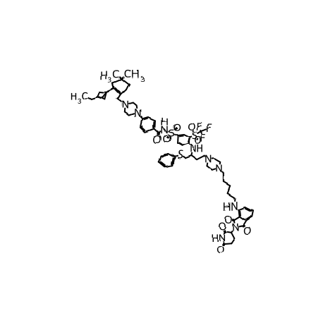 CCC12CC(C3=C(CN4CCN(c5ccc(C(=O)NS(=O)(=O)c6ccc(NC(CCN7CCN(CCCCCNc8cccc9c8C(=O)N(C8CCC(=O)NC8=O)C9=O)CC7)CSc7ccccc7)c(S(=O)(=O)C(F)(F)F)c6)cc5)CC4)CCC(C)(C)C3)(C1)C2